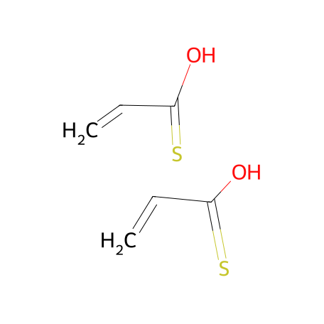 C=CC(O)=S.C=CC(O)=S